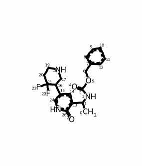 CC(NC(=O)OCc1ccccc1)c1cc(C2CNCCC2(F)F)c[nH]c1=O